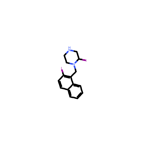 Ic1ccc2ccccc2c1CN1CCNCC1I